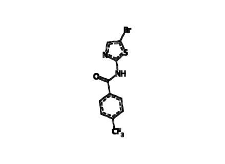 O=C(Nc1ncc(Br)s1)c1ccc(C(F)(F)F)cc1